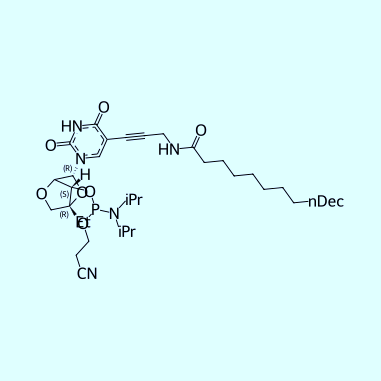 CCCCCCCCCCCCCCCCCC(=O)NCC#Cc1cn([C@@H]2O[C@]3(CC)COC2[C@@H]3OP(OCCC#N)N(C(C)C)C(C)C)c(=O)[nH]c1=O